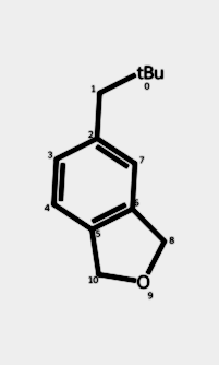 CC(C)(C)Cc1ccc2c(c1)COC2